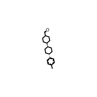 Cc1ccc([C@H]2CC[C@H](C3CCC(C=O)CC3)CC2)cc1